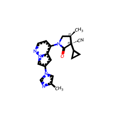 Cc1cn(-c2cc3c(N4C[C@@H](C)[C@@](C#N)(C5CC5)C4=O)ccnn3c2)cn1